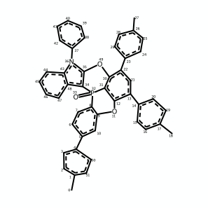 Cc1ccc(-c2ccc3c(c2)Oc2c(-c4ccc(C)cc4)cc(-c4ccc(C)cc4)c4c2P3(=O)c2c(n(-c3ccccc3)c3ccccc23)O4)cc1